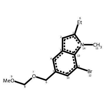 CCc1cc2cc(COCOC)cc(Br)c2n1C